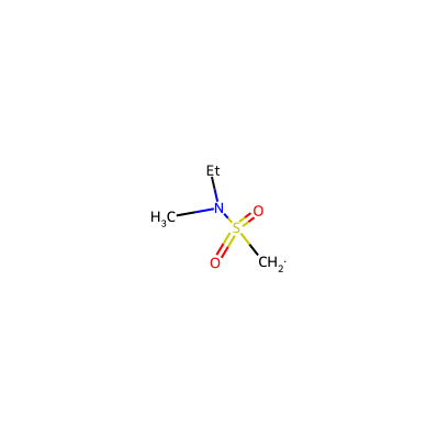 [CH2]S(=O)(=O)N(C)CC